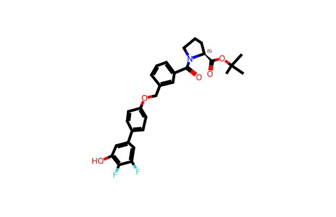 CC(C)(C)OC(=O)[C@@H]1CCCN1C(=O)c1cccc(COc2ccc(-c3cc(O)c(F)c(F)c3)cc2)c1